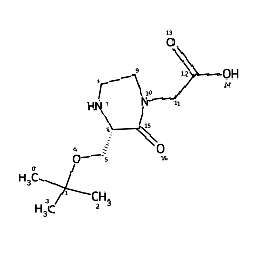 CC(C)(C)OC[C@@H]1NCCN(CC(=O)O)C1=O